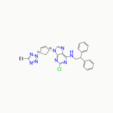 CCc1nnn([C@@H]2C=C[C@H](n3cnc4c(NCC(c5ccccc5)c5ccccc5)nc(Cl)nc43)C2)n1